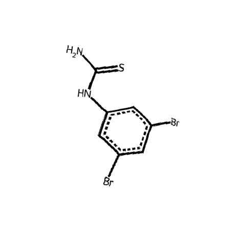 NC(=S)Nc1cc(Br)cc(Br)c1